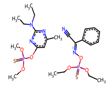 CCN(CC)c1nc(C)cc(OP(=S)(OC)OC)n1.CCOP(=S)(OCC)O/N=C(/C#N)c1ccccc1